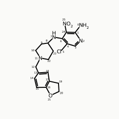 Nc1ncc(Cl)c(NC2CCN(Cc3ccc4c(c3)CCO4)CC2)c1[N+](=O)[O-]